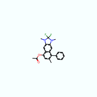 CC(=O)Oc1cc(C)c(-c2ccccc2)c2cc3c(cc12)N(C)C(F)(F)N3C